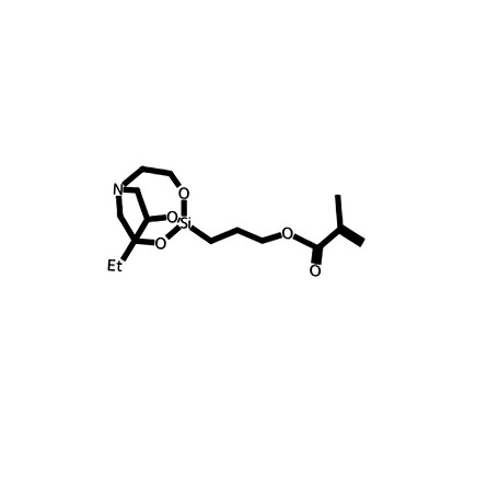 C=C(C)C(=O)OCCC[Si]12OCCN(CCO1)CC(CC)O2